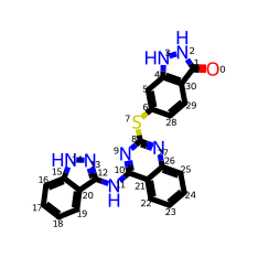 O=c1[nH][nH]c2cc(Sc3nc(Nc4n[nH]c5ccccc45)c4ccccc4n3)ccc12